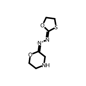 C1COC(=[N+]N=C2OCCS2)CN1